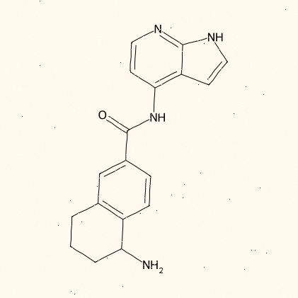 NC1CCCc2cc(C(=O)Nc3ccnc4[nH]ccc34)ccc21